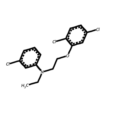 CCN(CCOc1cc(Cl)ccc1Cl)c1cccc(Cl)c1